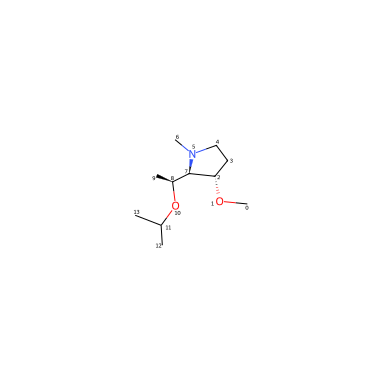 CO[C@H]1CCN(C)[C@@H]1[C@H](C)OC(C)C